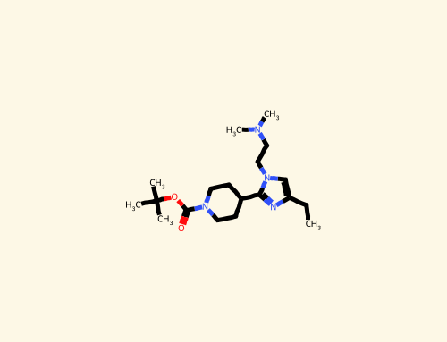 CCc1cn(CCN(C)C)c(C2CCN(C(=O)OC(C)(C)C)CC2)n1